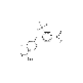 C[C@H]1CN(Cc2ccc([N+](=O)[O-])cc2C(F)(F)F)CCN1C(=O)O